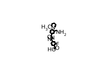 CC1CCCCN1c1ccc(-c2nc(-c3ccc(C(=O)O)c(F)c3)no2)cc1CN